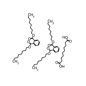 CCCCCCCCOC(=O)c1ccccc1C(=O)OCCCCCCCC.CCCCCCCCOC(=O)c1ccccc1C(=O)OCCCCCCCC.O=C(O)CCCCCCCCC(=O)O